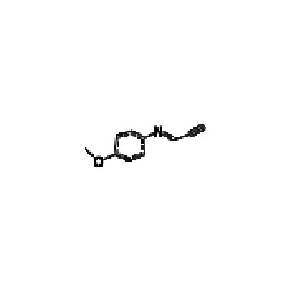 C#C/C=N/c1ccc(OC)cc1